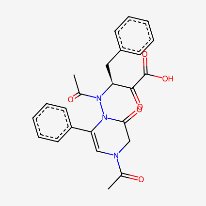 CC(=O)N1C=C(c2ccccc2)N(N(C(C)=O)[C@@H](Cc2ccccc2)C(=O)C(=O)O)C(=O)C1